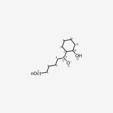 CCCCCCCCCCCC[S+]([O-])C1CCCCC1O